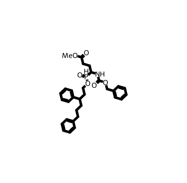 COC(=O)CCC(NC(=O)OCc1ccccc1)[PH](=O)OCCC(CCCc1ccccc1)c1ccccc1